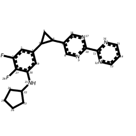 Fc1cc(C2CC2c2cnc(-c3ncccn3)nc2)cc(NC2CCCC2)c1F